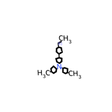 C/C=C/c1ccc(-c2ccc(N(c3ccc(C)cc3)c3ccc(C)cc3)cc2)cc1